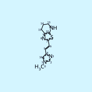 Cn1cnc(C=Cc2nc3c(s2)NCCC3)c1